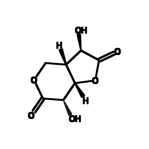 O=C1OC[C@H]2[C@H](OC(=O)[C@@H]2O)[C@@H]1O